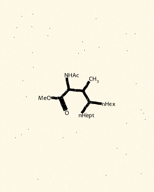 CCCCCCCC(CCCCCC)C(C)C(NC(C)=O)C(=O)OC